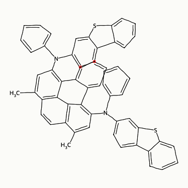 Cc1cc(N(c2ccccc2)c2ccc3c(c2)sc2ccccc23)c2c3ccccc3c3c(N(c4ccccc4)c4ccc5c(c4)sc4ccccc45)cc(C)c4ccc1c2c43